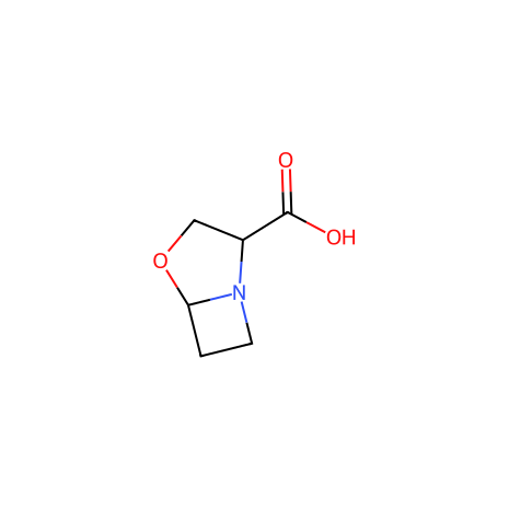 O=C(O)C1COC2CCN21